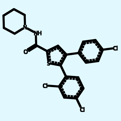 O=C(NN1CCCCC1)c1cc(-c2ccc(Cl)cc2)c(-c2ccc(Cl)cc2Cl)s1